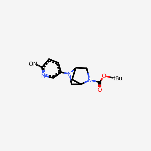 CC(C)(C)OC(=O)N1CC2CC1CN2c1ccc(N=O)nc1